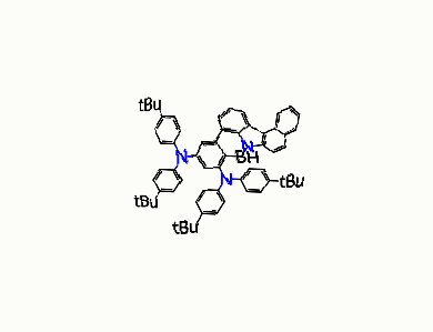 CC(C)(C)c1ccc(N(c2ccc(C(C)(C)C)cc2)c2cc3c(c(N(c4ccc(C(C)(C)C)cc4)c4ccc(C(C)(C)C)cc4)c2)Bn2c4ccc5ccccc5c4c4cccc-3c42)cc1